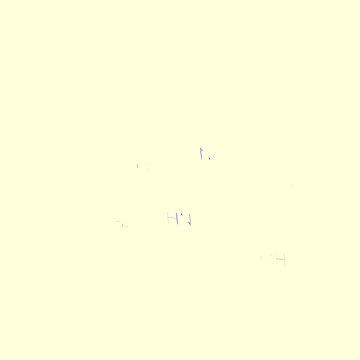 CC(C)C(=O)Nc1ncccc1O